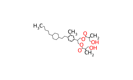 C=C(CO)C(=O)OCC(COC(=O)C(=C)CO)c1ccc(CCC2CCC(CCCCC)CC2)c(C)c1